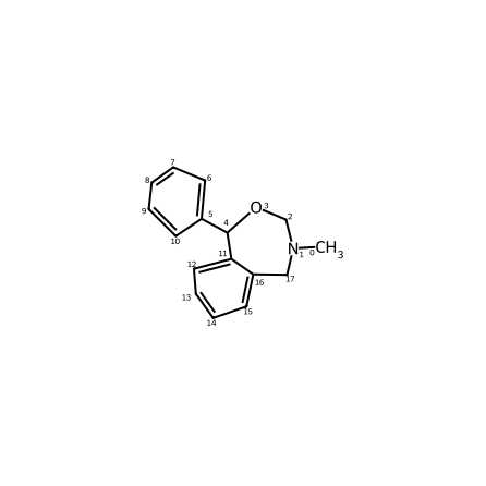 CN1COC(c2ccccc2)c2ccccc2C1